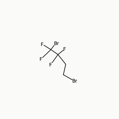 FC(F)(Br)C(F)(F)CCBr